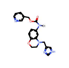 CCN(C(=O)OCc1cccnc1)c1ccc2c(c1)N(Cc1c[nH]cn1)CCO2